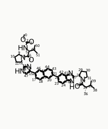 COC(=O)N[C@H](C(=O)N1CCC[C@H]1c1nc(-c2ccc3cc(-c4ccc5[nH]c([C@@H]6CCCN6C(=O)[C@@H](C)C(C)C)nc5c4)ccc3c2)c[nH]1)C(C)C